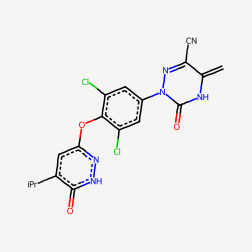 C=C1NC(=O)N(c2cc(Cl)c(Oc3cc(C(C)C)c(=O)[nH]n3)c(Cl)c2)N=C1C#N